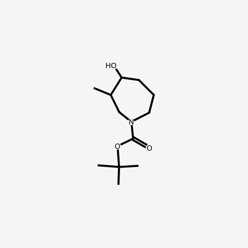 CC1CN(C(=O)OC(C)(C)C)CCCC1O